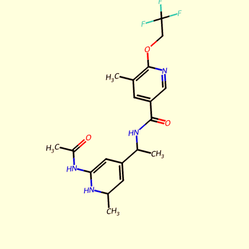 CC(=O)NC1=CC(C(C)NC(=O)c2cnc(OCC(F)(F)F)c(C)c2)=CC(C)N1